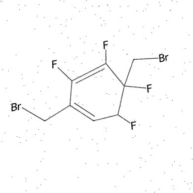 FC1=C(F)C(F)(CBr)C(F)C=C1CBr